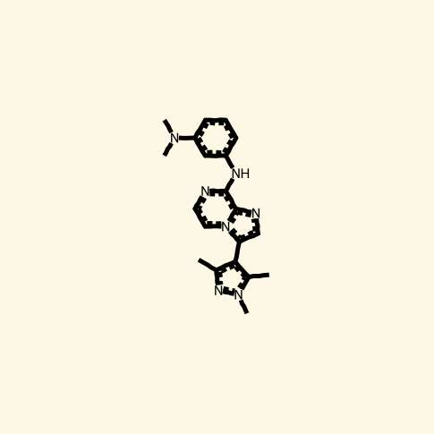 Cc1nn(C)c(C)c1-c1cnc2c(Nc3cccc(N(C)C)c3)nccn12